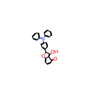 O=C1C=CC=C2OC(c3ccc(N(c4ccccc4)c4ccccc4)cc3)C(O)=C12